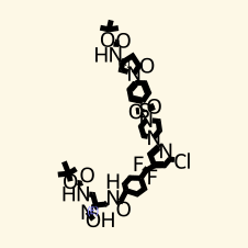 CC(C)(C)OC(=O)NC/C(CNC(=O)C1CCC(C(F)(F)c2cc(Cl)nc(N3CCN(S(=O)(=O)c4ccc(N5C[C@H](NC(=O)OC(C)(C)C)CC5=O)cc4)CC3)c2)CC1)=N/O